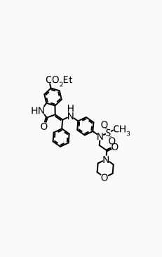 CCOC(=O)c1ccc2c(c1)NC(=O)C2=C(Nc1ccc(N(CC(=O)N2CCOCC2)S(C)(=O)=O)cc1)c1ccccc1